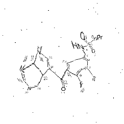 CCCS(=O)(=O)Nc1cc(F)c(F)c(C(=O)C2=CNC3N=CN=CC23)c1